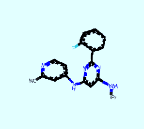 CC(C)Nc1cc(Nc2ccnc(C#N)c2)nc(-c2ccccc2F)n1